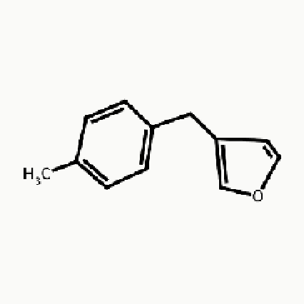 Cc1ccc(Cc2ccoc2)cc1